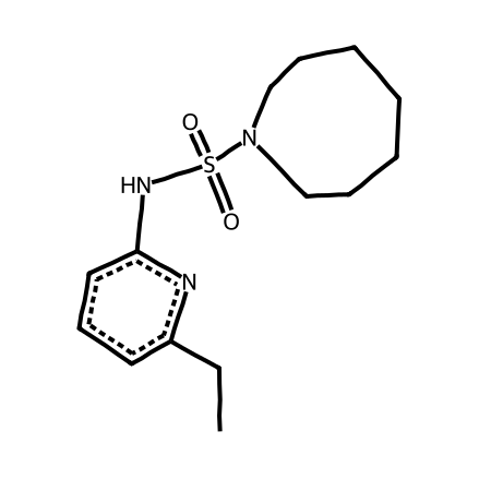 CCc1cccc(NS(=O)(=O)N2CCCCCCC2)n1